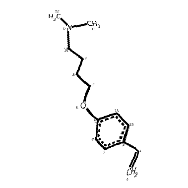 C=Cc1ccc(OCCCCN(C)C)cc1